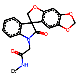 CCNC(=O)CN1C(=O)C2(COc3cc4c(cc32)OCO4)c2ccccc21